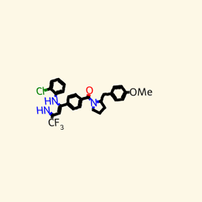 COc1ccc(CC2CCCN2C(=O)c2ccc(/C(=C/C(=N)C(F)(F)F)Nc3ccccc3Cl)cc2)cc1